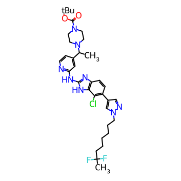 CC(c1ccnc(Nc2nc3ccc(-c4cnn(CCCCCCC(C)(F)F)c4)c(Cl)c3[nH]2)c1)N1CCN(C(=O)OC(C)(C)C)CC1